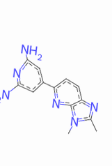 Cc1nc2ccc(-c3cc(N)nc(N)c3)nc2n1C